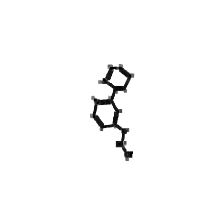 OBOc1ccnc(-c2ccccn2)c1